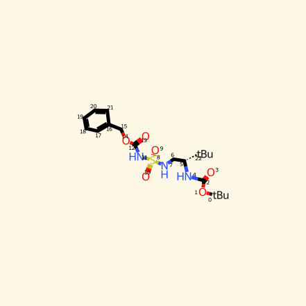 CC(C)(C)OC(=O)N[C@H](CNS(=O)(=O)NC(=O)OCc1ccccc1)C(C)(C)C